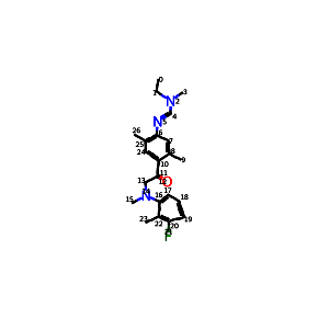 CCN(C)C=Nc1cc(C)c(C(=O)CN(C)c2cccc(F)c2C)cc1C